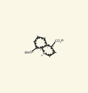 COc1cccc2c(C(=O)O)ccnc12